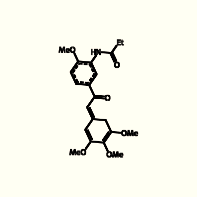 CCC(=O)Nc1cc(C(=O)C=C2C=C(OC)C(OC)=C(OC)C2)ccc1OC